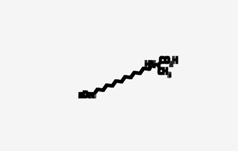 CCCCCCCCCCCCCCCCCCCCCCNC(C)C(=O)O